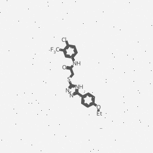 CCOc1ccc(-c2nnc(SCC(=O)Nc3ccc(Cl)c(C(F)(F)F)c3)[nH]2)cc1